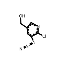 [N-]=[N+]=Nc1cc(CO)cnc1Cl